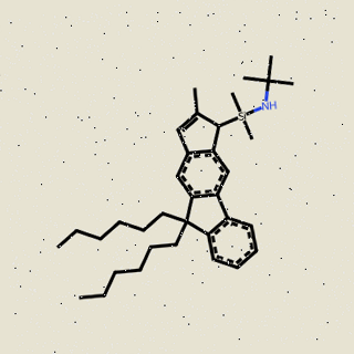 CCCCCCC1(CCCCCC)c2ccccc2-c2cc3c(cc21)C=C(C)C3[Si](C)(C)NC(C)(C)C